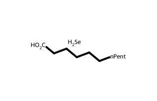 CCCCCCCCCCC(=O)O.[SeH2]